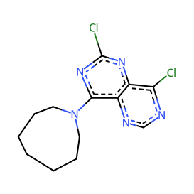 Clc1nc(N2CCCCCCC2)c2ncnc(Cl)c2n1